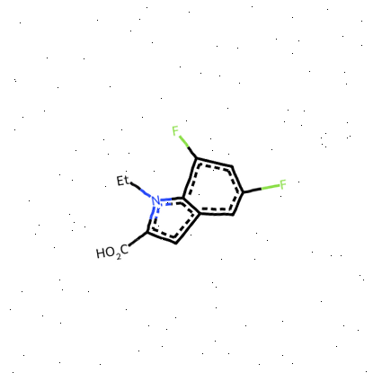 CCn1c(C(=O)O)cc2cc(F)cc(F)c21